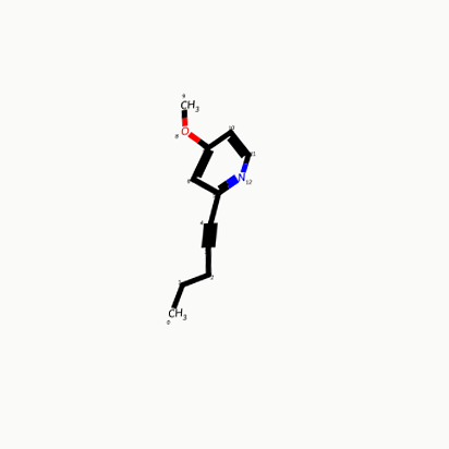 CCCC#Cc1cc(OC)ccn1